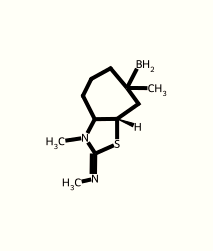 BC1(C)CCCC2[C@H](C1)S/C(=N/C)N2C